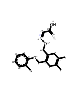 CC1=C(C)CC(COc2ccccc2C)=C(CO/N=C\C(=O)O)C1